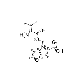 CC(C)C(N)C(=O)OCn1c(C(=O)O)cc2occc21